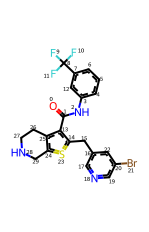 O=C(Nc1cccc(C(F)(F)F)c1)c1c(Cc2cncc(Br)c2)sc2c1CCNC2